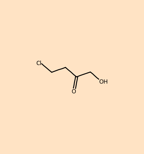 O=C(CO)CCCl